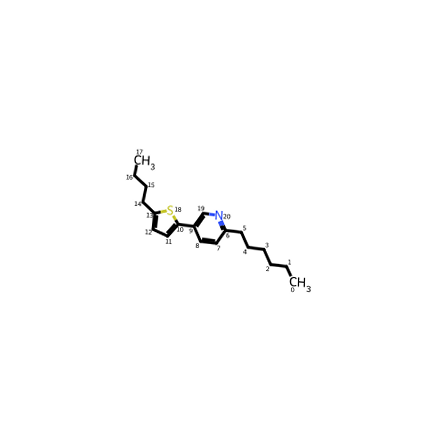 CCCCCCc1ccc(-c2ccc(CCCC)s2)cn1